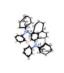 c1ccc2c(c1)B1c3ccccc3N(C34CCC(CC3)CC4)c3c4c5c(c(c31)N2C12CCC(CC1)CC2)CCCC5CCC4